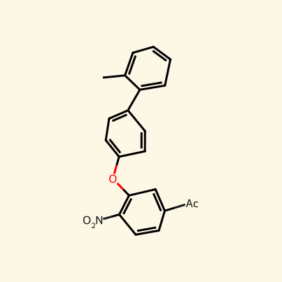 CC(=O)c1ccc([N+](=O)[O-])c(Oc2ccc(-c3ccccc3C)cc2)c1